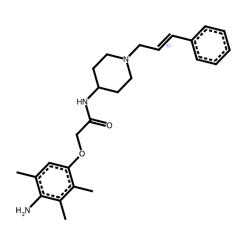 Cc1cc(OCC(=O)NC2CCN(C/C=C/c3ccccc3)CC2)c(C)c(C)c1N